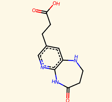 O=C(O)CCc1cnc2c(c1)NCCC(=O)N2